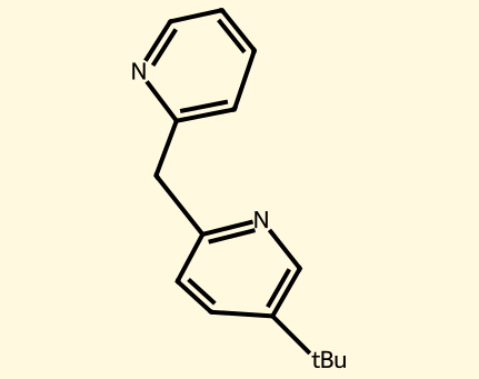 CC(C)(C)c1ccc(Cc2ccccn2)nc1